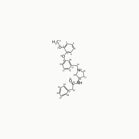 COc1ccccc1Oc1cccc(CN2CCC(NC(=O)Cc3ccccc3)C2)c1